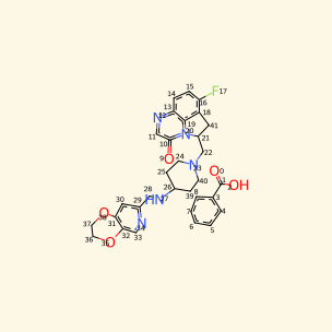 O=C(O)c1ccccc1.O=c1cnc2ccc(F)c3c2n1C(CN1CCC(NCc2cc4c(cn2)OCCO4)CC1)C3